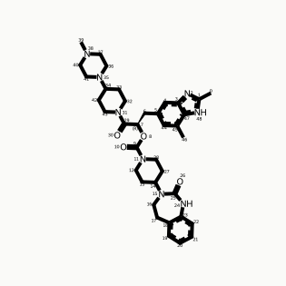 Cc1nc2cc(C[C@@H](OC(=O)N3CCC(N4CCc5ccccc5NC4=O)CC3)C(=O)N3CCC(N4CCN(C)CC4)CC3)cc(C)c2[nH]1